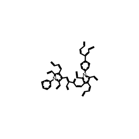 C=C/C=C\C(=C/C=C)c1ccc(-n2c(C=C)c(/C=C\C=C)c(/C=C\C(=C)/C(C=C)=C/c3c(/C=C\C=C)c(C=C)n(-c4ccccc4)c3C=C)c2C=C)cc1